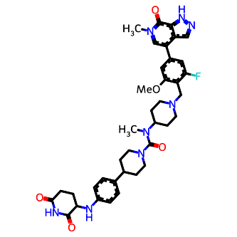 COc1cc(-c2cn(C)c(=O)c3[nH]ncc23)cc(F)c1CN1CCC(N(C)C(=O)N2CCC(c3ccc(NC4CCC(=O)NC4=O)cc3)CC2)CC1